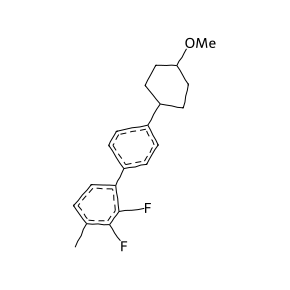 COC1CCC(c2ccc(-c3ccc(C)c(F)c3F)cc2)CC1